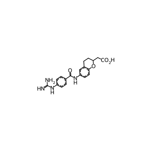 N=C(N)Nc1ccc(C(=O)Nc2ccc3c(c2)CCC(CC(=O)O)O3)cc1